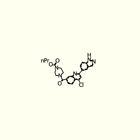 CCCOC(=O)N1CCN(C(=O)c2ccc3c(Cl)cc(-c4ccc5[nH]ncc5c4)nc3c2)CC1